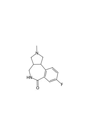 CN1CC2CNC(=O)c3cc(F)ccc3C2C1